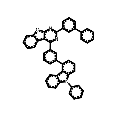 c1ccc(-c2cccc(-c3nc(-c4cccc(-c5cccc6c5c5ccccc5n6-c5ccccc5)c4)c4c(n3)oc3ccccc34)c2)cc1